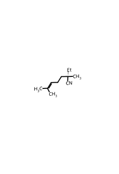 CC[C@](C)(C#N)CCC=C(C)C